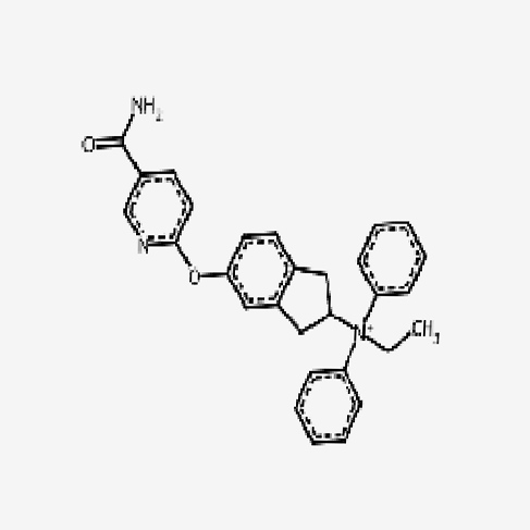 CC[N+](c1ccccc1)(c1ccccc1)C1Cc2ccc(Oc3ccc(C(N)=O)cn3)cc2C1